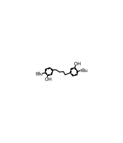 CC(C)(C)c1ccc(CCCCc2ccc(C(C)(C)C)c(O)c2)cc1O